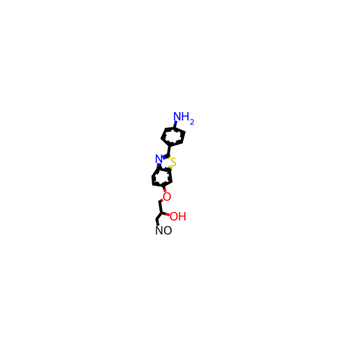 Nc1ccc(-c2nc3ccc(OCC(O)CN=O)cc3s2)cc1